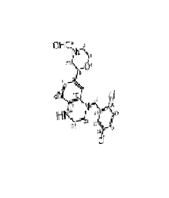 O=CN1CCOC(c2cnc3c(c2)N(Cc2cc(Cl)ccc2Cl)CCN3)C1